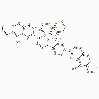 C/C=C\C1=C(N)c2nc(-c3ccc4c(c3)[SH](C)(c3ccccc3)(c3ccccc3)c3cc(-c5ccc6ccc(/C=C\C)c(N)c6n5)ccc3-4)ccc2CC1